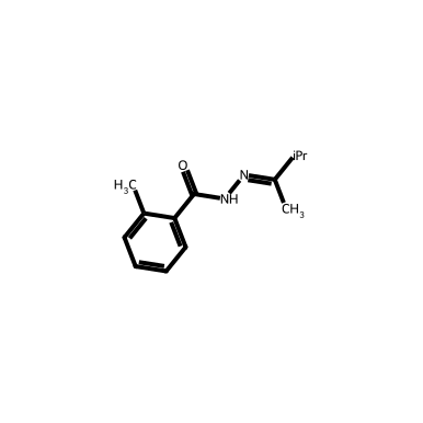 C/C(=N\NC(=O)c1ccccc1C)C(C)C